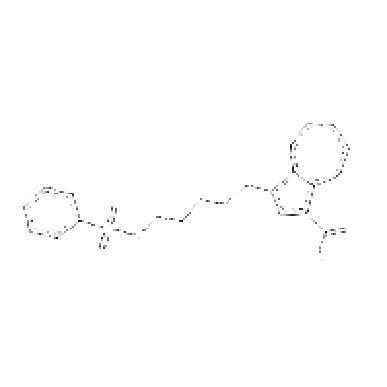 O=C(O)c1cc(CCCCCNS(=O)(=O)c2ccccc2)c2cccccc1-2